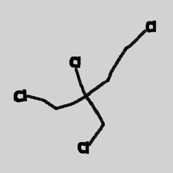 ClCCC(Cl)(CCl)CCl